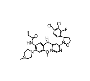 C=CC(=O)Nc1cc(Nc2cc(N3OCC[C@@H]3c3ccc(Cl)c(Cl)c3F)ncn2)c(OC)cc1N1CCN(C)CC1